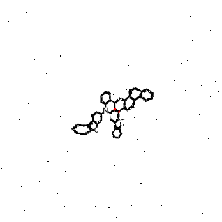 C1=C=c2oc3ccccc3c2=CC=1N(c1ccc2c(c1)oc1ccccc12)c1ccccc1C1=Cc2c(ccc3c2ccc2ccccc23)CC1